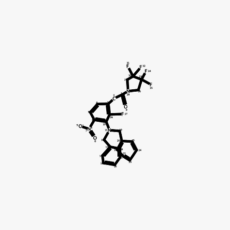 O=C(Cc1ccc([N+](=O)[O-])c(N(Cc2ccccc2)Cc2ccccc2)c1F)N1CC(F)(F)C(F)(F)C1